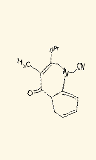 CCCC1=C(C)C(=O)C2CC=CC=C2N1C#N